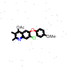 COc1ccc(Oc2cc3c(OC(C)=O)c(C)c(C)nc3cc2Cl)cc1